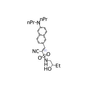 CCCN(CCC)c1ccc2cc(/C=C(\C#N)S(=O)(=O)NCC(O)CC)ccc2c1